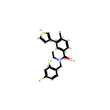 CCN(Cc1ccc(F)cc1F)C(=O)c1ccc(C)c(-c2ccsc2)c1